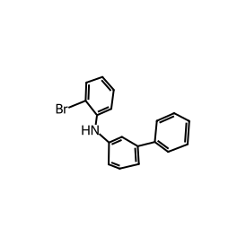 Brc1ccccc1Nc1cccc(-c2ccccc2)c1